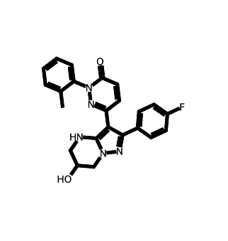 Cc1ccccc1-n1nc(-c2c(-c3ccc(F)cc3)nn3c2NCC(O)C3)ccc1=O